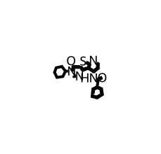 O=C(Nc1ccnc2sc3c(=O)n(C4CCCCC4)cnc3c12)c1ccccc1